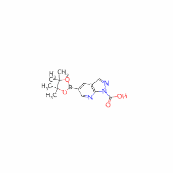 CC1(C)OB(c2cnc3c(cnn3C(=O)O)c2)OC1(C)C